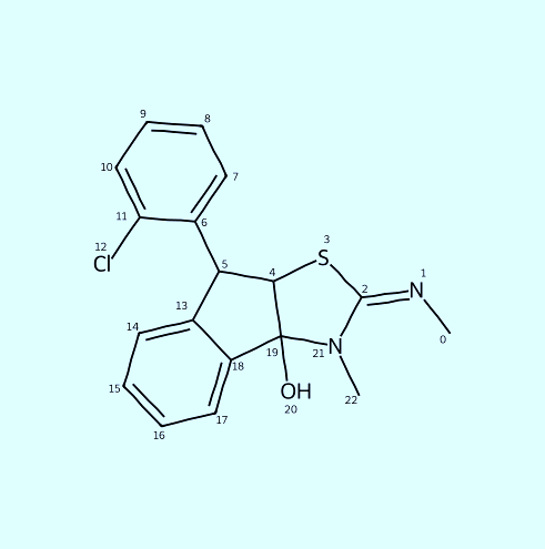 CN=C1SC2C(c3ccccc3Cl)c3ccccc3C2(O)N1C